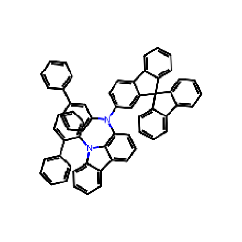 c1ccc(-c2cccc(N(c3ccc4c(c3)C3(c5ccccc5-c5ccccc53)c3ccccc3-4)c3cccc4c5ccccc5n(-c5ccccc5-c5ccccc5)c34)c2)cc1